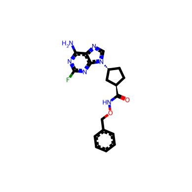 Nc1nc(F)nc2c1ncn2[C@@H]1CC[C@@H](C(=O)NOCc2ccccc2)C1